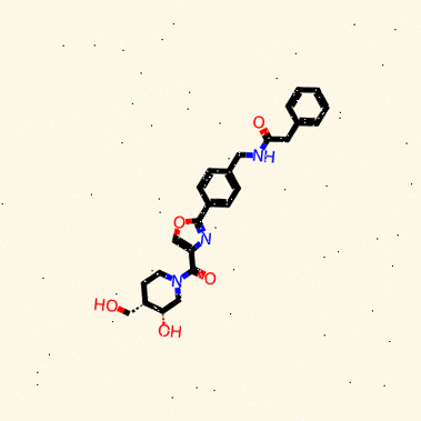 O=C(Cc1ccccc1)NCc1ccc(-c2nc(C(=O)N3CC[C@@H](CO)[C@@H](O)C3)co2)cc1